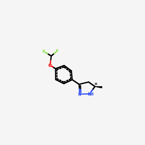 C[C@@H]1CC(c2ccc(OC(F)F)cc2)=NN1